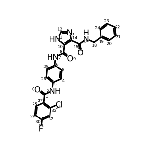 O=C(Nc1ccc(NC(=O)c2[nH]cnc2C(=O)NCc2ccccc2)cc1)c1ccc(F)cc1Cl